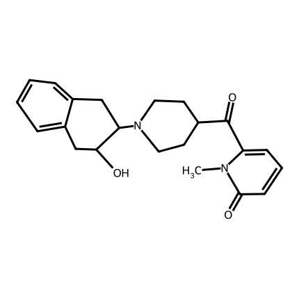 Cn1c(C(=O)C2CCN(C3Cc4ccccc4CC3O)CC2)cccc1=O